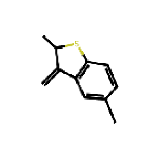 C=C1c2cc(C)ccc2SC1C